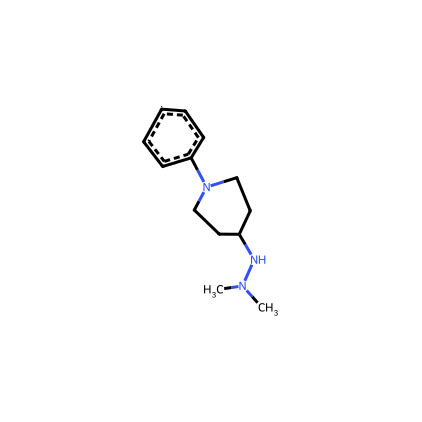 CN(C)NC1CCN(c2cc[c]cc2)CC1